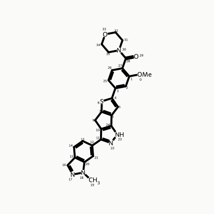 COc1cc(-c2cc3c(s2)Cc2c(-c4ccc5cnn(C)c5c4)n[nH]c2-3)ccc1C(=O)N1CCOCC1